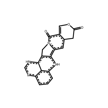 O=C1Cc2cc3n(c(=O)c2=CO1)Cc1c2[nH]cnc4cccc([nH]c1=3)c4-2